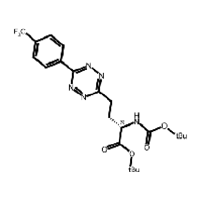 CC(C)(C)OC(=O)N[C@@H](CCc1nnc(-c2ccc(C(F)(F)F)cc2)nn1)C(=O)OC(C)(C)C